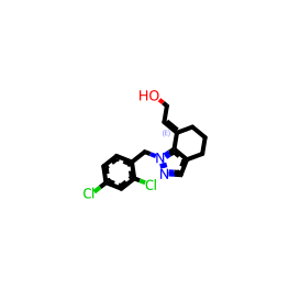 OC/C=C1\CCCc2cnn(Cc3ccc(Cl)cc3Cl)c21